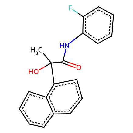 CC(O)(C(=O)Nc1ccccc1F)c1cccc2ccccc12